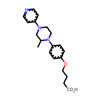 CC1CN(c2ccncc2)CCN1c1ccc(OCCCC(=O)O)cc1